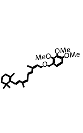 COc1ccc(COCC=C(C)C=CC=C(C)C=CC2=C(C)CCCC2(C)C)c(OC)c1OC